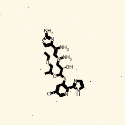 CCOCC(C)OC(Sc1cc(Cl)cnc1-c1ncc[nH]1)[C@@H](O)CN(N)/C=C(\N)c1csc(N)n1